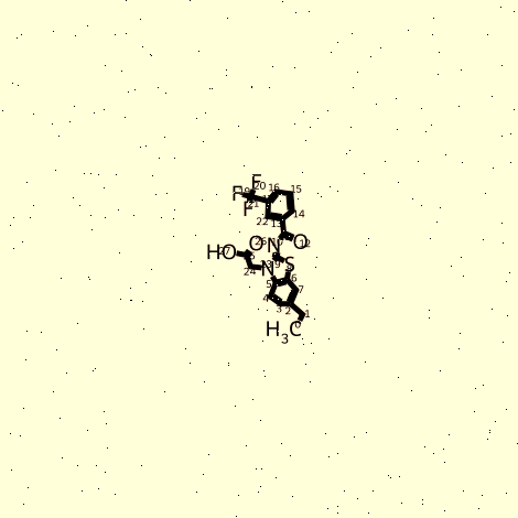 CCc1ccc2c(c1)s/c(=N\C(=O)c1cccc(C(F)(F)F)c1)n2CC(=O)O